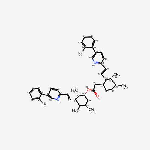 C[C@H]1[C@H](/C=C/c2ccc(-c3ccccc3C#N)cn2)[C@H](C)[C@H](OC(=O)C[C@@H]2CC[C@H](C)[C@@H](C)[C@@H]2/C=C/c2ccc(-c3ccccc3C#N)cn2)C[C@@H]1C